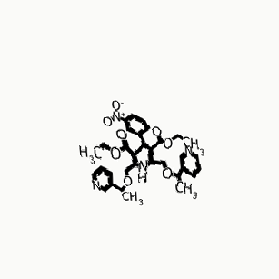 CCOC(=O)C1=C(COC(C)c2cccnc2)NC(COC(C)c2cccnc2)=C(C(=O)OCC)C1c1cccc([N+](=O)[O-])c1